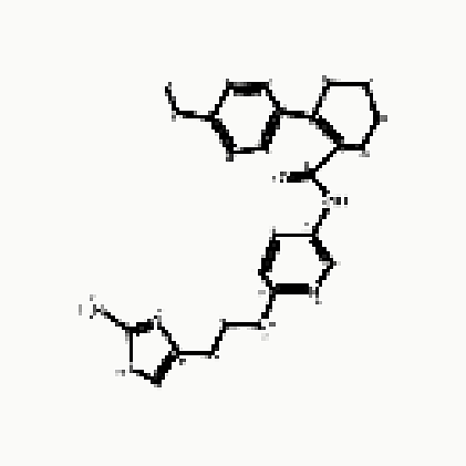 CCc1ccc(C2=C(C(=O)Nc3ccc(NCCc4csc(N)n4)nc3)CCCC2)cc1